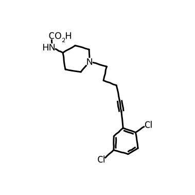 O=C(O)NC1CCN(CCCC#Cc2cc(Cl)ccc2Cl)CC1